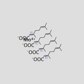 CC(C)=CCC/C(C)=C/C(=O)[O-].CC(C)=CCC/C(C)=C/C(=O)[O-].CC(C)=CCC/C(C)=C/C(=O)[O-].CC(C)=CCC/C(C)=C/C(=O)[O-].[Mo+4]